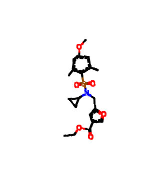 CCOC(=O)c1coc(CN(C2CC2)S(=O)(=O)c2c(C)cc(OC)cc2C)c1